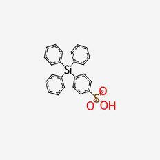 O=S(=O)(O)c1ccc([Si](c2ccccc2)(c2ccccc2)c2ccccc2)cc1